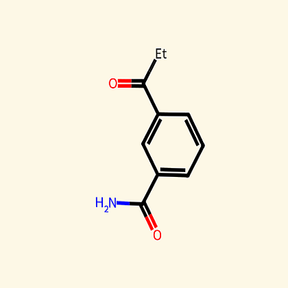 CCC(=O)c1cccc(C(N)=O)c1